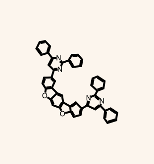 c1ccc(-c2cc(-c3ccc4oc5cc6oc7ccc(-c8cc(-c9ccccc9)nc(-c9ccccc9)n8)cc7c6cc5c4c3)nc(-c3ccccc3)n2)cc1